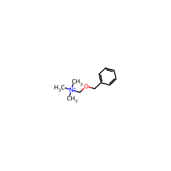 C[N+](C)(C)COCc1ccccc1